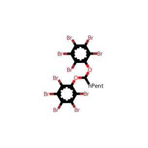 CCCCCC(Oc1c(Br)c(Br)c(Br)c(Br)c1Br)Oc1c(Br)c(Br)c(Br)c(Br)c1Br